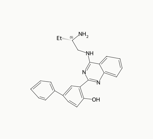 CC[C@H](N)CNc1nc(-c2cc(-c3ccccc3)ccc2O)nc2ccccc12